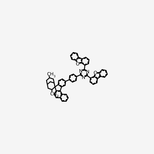 CC1CC2CC(C)C3(c4ccc(-c5ccc(-c6nc(-c7cccc8c7oc7ccccc78)nc(-c7cccc8c7oc7ccccc78)n6)cc5)cc4-c4c3ccc3ccccc43)C(C1)C2